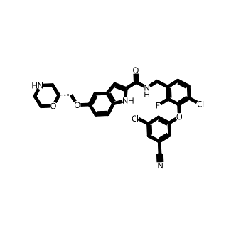 N#Cc1cc(Cl)cc(Oc2c(Cl)ccc(CNC(=O)c3cc4cc(OC[C@H]5CNCCO5)ccc4[nH]3)c2F)c1